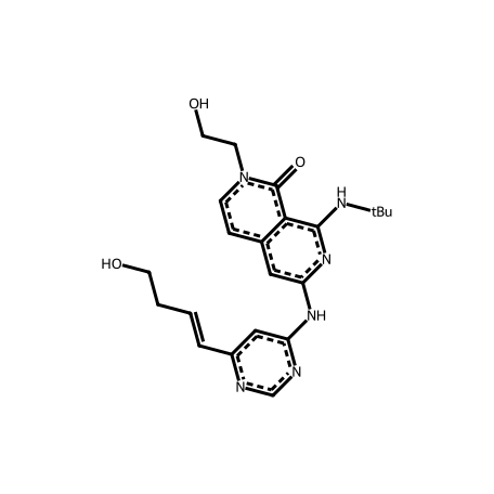 CC(C)(C)Nc1nc(Nc2cc(C=CCCO)ncn2)cc2ccn(CCO)c(=O)c12